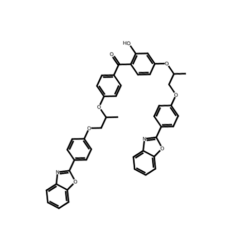 CC(COc1ccc(-c2nc3ccccc3o2)cc1)Oc1ccc(C(=O)c2ccc(OC(C)COc3ccc(-c4nc5ccccc5o4)cc3)cc2O)cc1